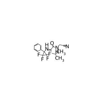 CC(C)C[C@H](NC1(c2ccccc2)C(F)(F)C1(F)F)C(=O)NCC#N